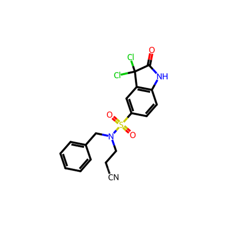 N#CCCN(Cc1ccccc1)S(=O)(=O)c1ccc2c(c1)C(Cl)(Cl)C(=O)N2